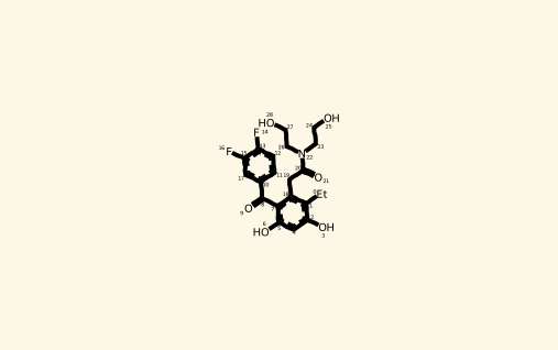 CCc1c(O)cc(O)c(C(=O)c2ccc(F)c(F)c2)c1CC(=O)N(CCO)CCO